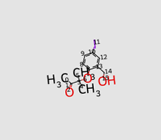 CC(=O)C(C)(C)Oc1ccc(I)cc1CO